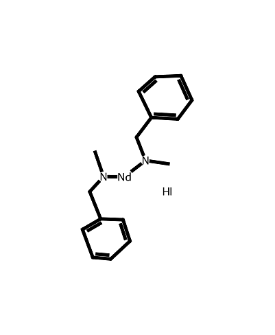 C[N](Cc1ccccc1)[Nd][N](C)Cc1ccccc1.I